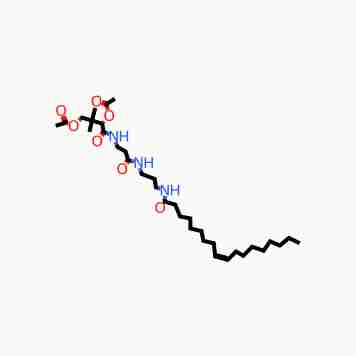 CCCCCCCC/C=C\CCCCCCCC(=O)NCCCNC(=O)CCNC(=O)C(OC(C)=O)C(C)(C)COC(C)=O